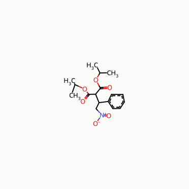 CC(C)OC(=O)C(C(=O)OC(C)C)C(C[N+](=O)[O-])c1ccccc1